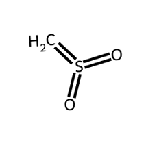 C=S(=O)=O